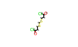 O=C(Cl)CCSCSCCC(=O)Cl